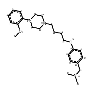 COc1ccccc1N1CCN(CCCCOc2ccc(CN(C)C)cc2)CC1